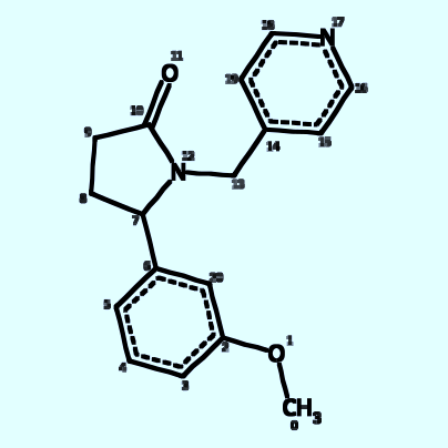 COc1cccc(C2CCC(=O)N2Cc2ccncc2)c1